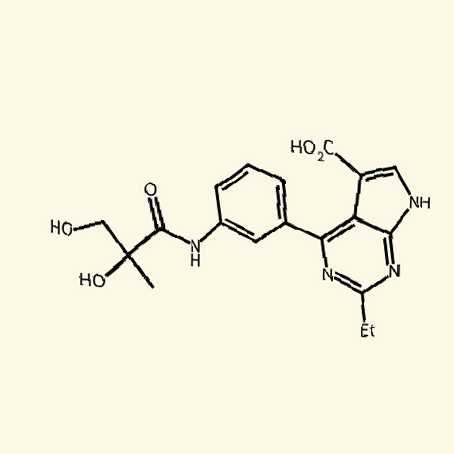 CCc1nc(-c2cccc(NC(=O)C(C)(O)CO)c2)c2c(C(=O)O)c[nH]c2n1